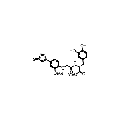 COC(=O)[C@H](Cc1ccc(O)c(O)c1)NC(=O)COc1ccc(-c2cc(=S)ss2)cc1OC